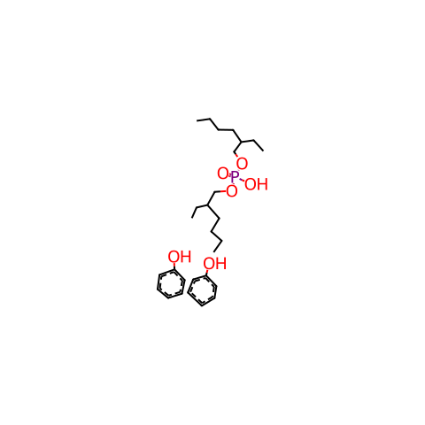 CCCCC(CC)COP(=O)(O)OCC(CC)CCCC.Oc1ccccc1.Oc1ccccc1